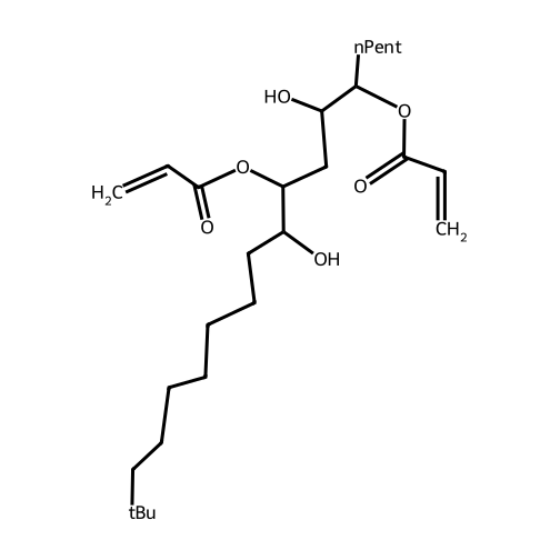 C=CC(=O)OC(CCCCC)C(O)CC(OC(=O)C=C)C(O)CCCCCCCC(C)(C)C